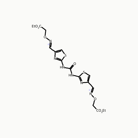 CCOC(=O)CO/N=C/c1csc(NC(=O)Nc2nc(/C=N/OCC(=O)OCC)cs2)n1